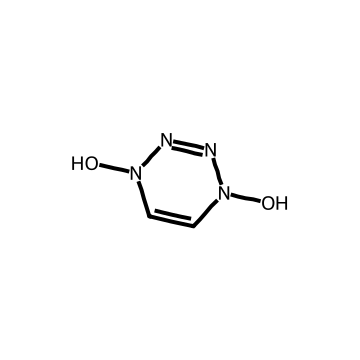 ON1C=CN(O)N=N1